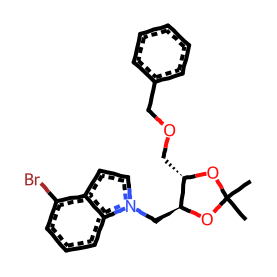 CC1(C)O[C@@H](COCc2ccccc2)[C@H](Cn2ccc3c(Br)cccc32)O1